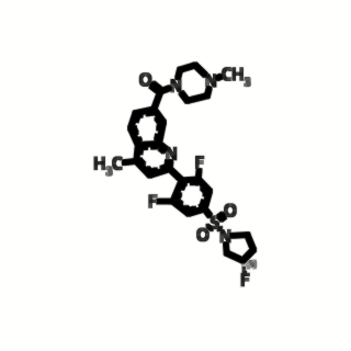 Cc1cc(-c2c(F)cc(S(=O)(=O)N3CC[C@H](F)C3)cc2F)nc2cc(C(=O)N3CCN(C)CC3)ccc12